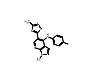 CCn1ncc2c(Nc3ccc(F)cc3)c(-c3nc(C)no3)cnc21